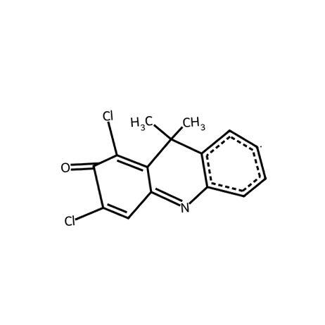 CC1(C)C2=C(Cl)C(=O)C(Cl)=CC2=Nc2cc[c]cc21